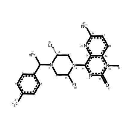 CCCC(c1ccc(C(F)(F)F)cc1)N1CC(CC)N(c2nc(=O)n(C)c3ccc(C#N)nc23)C[C@H]1CC